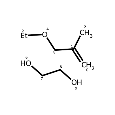 C=C(C)COCC.OCCO